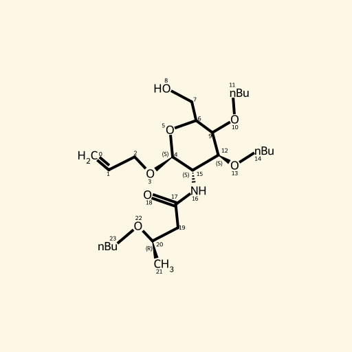 C=CCO[C@H]1OC(CO)C(OCCCC)[C@@H](OCCCC)[C@@H]1NC(=O)C[C@@H](C)OCCCC